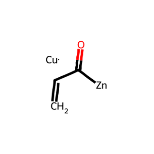 C=C[C](=O)[Zn].[Cu]